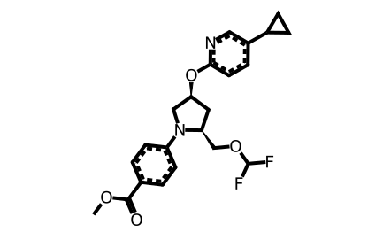 COC(=O)c1ccc(N2C[C@@H](Oc3ccc(C4CC4)cn3)C[C@H]2COC(F)F)cc1